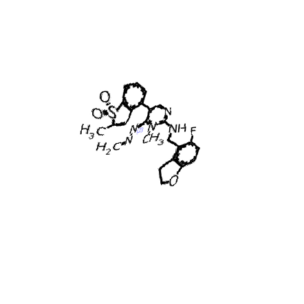 C=N/N=c1/c(-c2cccc3c2C=C(C)S3(=O)=O)cnc(NCc2c(F)ccc3c2CCO3)n1C